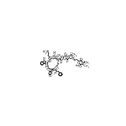 CC(=O)N[C@@H](CSSCCC(=O)N(C)[C@@H](C)C(=O)O)C(=O)NC[C@H](NC(=O)[C@@H]1CSSC[C@H](NC(=O)[C@H](N)Cc2ccccc2)C(=O)N[C@@H](Cc2ccc(O)cc2)C(=O)N[C@H](Cc2c[nH]c3ccccc23)C(=O)N[C@@H](CCCCN)C(=O)N[C@@H]([C@@H](C)O)C(=O)N1)C(N)=O